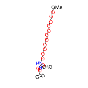 COCCOCCOCCOCCOCCOCCOCCOCCOCCOCCOCCOCCNC(=O)CN(CC=O)C(=O)OCC1c2ccccc2-c2ccccc21